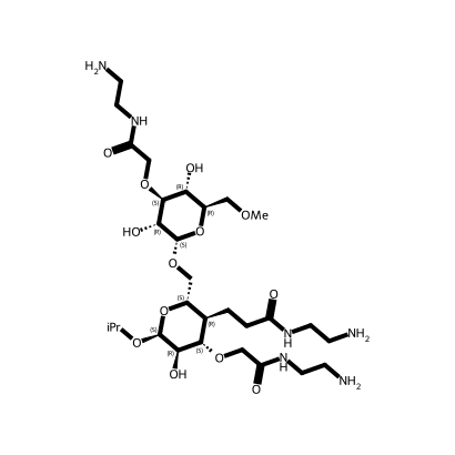 COC[C@H]1O[C@H](OC[C@H]2O[C@H](OC(C)C)[C@H](O)[C@@H](OCC(=O)NCCN)[C@@H]2CCC(=O)NCCN)[C@H](O)[C@@H](OCC(=O)NCCN)[C@@H]1O